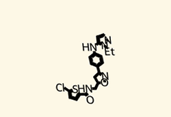 CCn1nccc1Nc1ccc(C2=NOC(CNC(=O)c3ccc(Cl)s3)C2)cc1